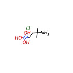 CC(C)([SiH3])CC[N+](O)(O)O.[Cl-]